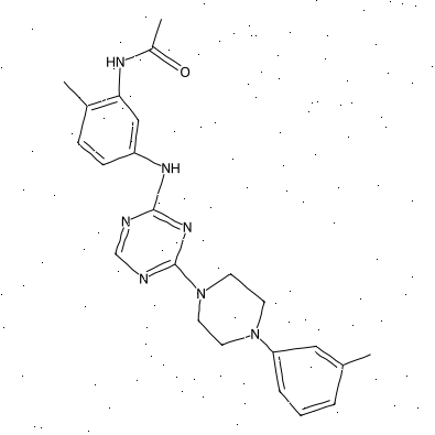 CC(=O)Nc1cc(Nc2ncnc(N3CCN(c4cccc(C)c4)CC3)n2)ccc1C